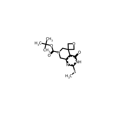 CSc1nc2c(c(=O)[nH]1)C1(COC1)CN(C(=O)OC(C)(C)C)C2